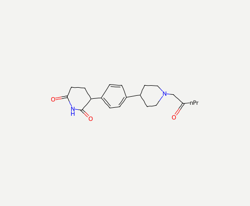 CCCC(=O)CN1CCC(c2ccc(C3CCC(=O)NC3=O)cc2)CC1